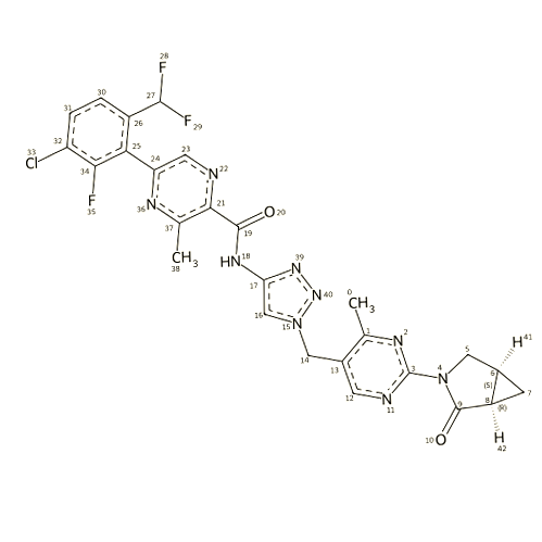 Cc1nc(N2C[C@H]3C[C@H]3C2=O)ncc1Cn1cc(NC(=O)c2ncc(-c3c(C(F)F)ccc(Cl)c3F)nc2C)nn1